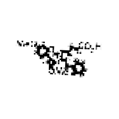 COc1ccc([C@]2(C(=O)N(CCCCC(=O)O)CCCc3ccccc3)C[C@H](OC)C2)cc1